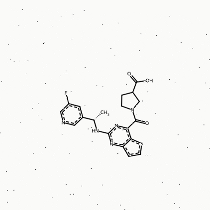 C[C@H](Nc1nc(C(=O)N2CCC(C(=O)O)C2)c2sccc2n1)c1cncc(F)c1